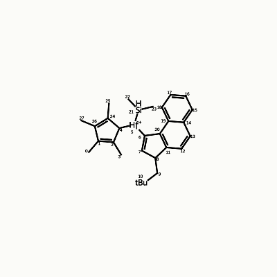 CC1=C(C)[CH]([Hf+]([C]2=CC(CC(C)(C)C)c3ccc4ccccc4c32)[SiH](C)C)C(C)=C1C